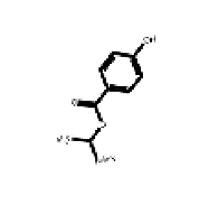 CCCCCCC(C)OC(=O)c1ccc(O)cc1